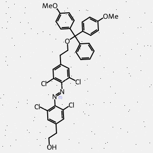 COc1ccc(C(OCCc2cc(Cl)c(/N=N/c3c(Cl)cc(CCO)cc3Cl)c(Cl)c2)(c2ccccc2)c2ccc(OC)cc2)cc1